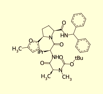 Cc1ccc([C@H]2CC[C@@H](C(=O)NC(c3ccccc3)c3ccccc3)N2C(=O)[C@@H](NC(=O)[C@H](C)N(C)C(=O)OC(C)(C)C)C(C)C)o1